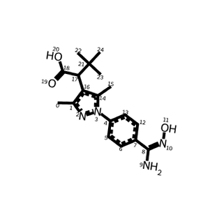 Cc1nn(-c2ccc(/C(N)=N\O)cc2)c(C)c1C(C(=O)O)C(C)(C)C